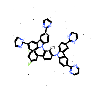 N#Cc1c(-n2c3ccc(-c4ncccn4)cc3c3cc(-c4ncccn4)ccc32)ccc(-c2cc(F)cc(F)c2)c1-n1c2ccc(-c3ncccn3)cc2c2cc(-c3ncccn3)ccc21